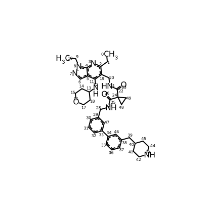 CCc1nc2c(cnn2CC)c(NC2CCOCC2)c1CNC(=O)C1(C(=O)NCc2cccc(-c3cccc(CC4CCNCC4)c3)c2)CC1